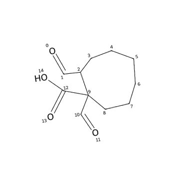 O=CC1CCCCCCC1(C=O)C(=O)O